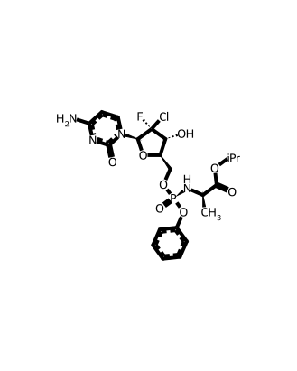 CC(C)OC(=O)[C@@H](C)N[P@@](=O)(OC[C@H]1O[C@@H](n2ccc(N)nc2=O)[C@@](F)(Cl)[C@@H]1O)Oc1ccccc1